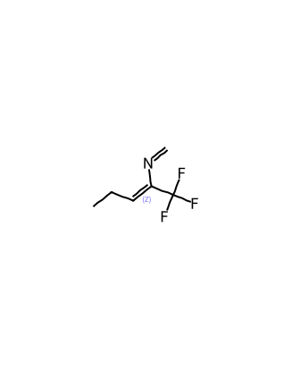 C=N/C(=C\CC)C(F)(F)F